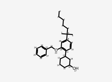 CCCCCC(C)(C)c1ccc(C2CCCC(O)C2)c(OCc2ccccc2)c1